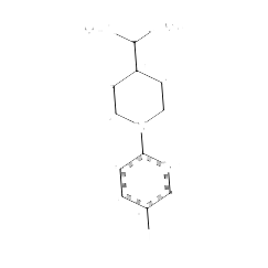 COC(OC)C1CCN(c2ccc(I)cn2)CC1